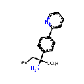 CC(C)(C)CC(N)(C(=O)O)c1ccc(-c2ccccn2)cc1